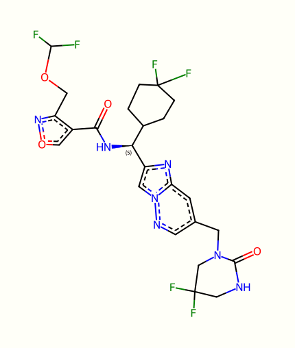 O=C(N[C@H](c1cn2ncc(CN3CC(F)(F)CNC3=O)cc2n1)C1CCC(F)(F)CC1)c1conc1COC(F)F